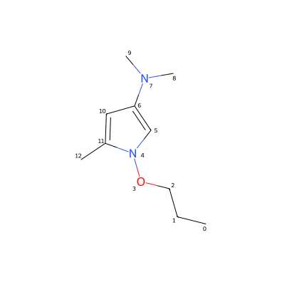 CCCOn1cc(N(C)C)cc1C